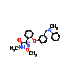 CNC(=O)/C(=N\OC)c1ccccc1Oc1cccc(CN(C)c2ccccc2)c1